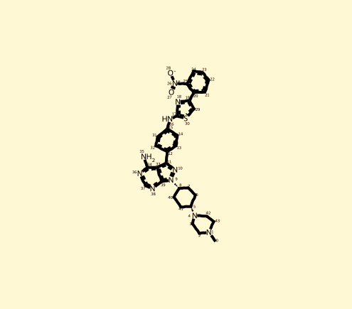 CN1CCN([C@H]2CC[C@@H](n3nc(-c4ccc(Nc5nc(-c6ccccc6[N+](=O)[O-])cs5)cc4)c4c(N)ncnc43)CC2)CC1